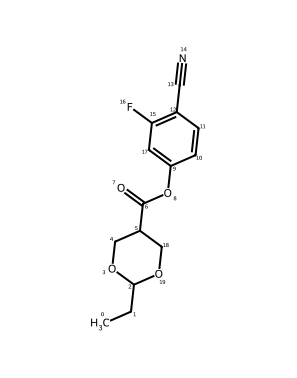 CCC1OCC(C(=O)Oc2ccc(C#N)c(F)c2)CO1